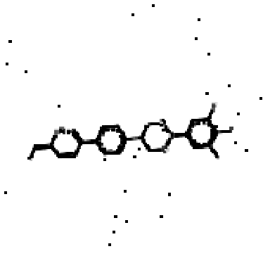 C=C(/C=C\C(=C/C)CCCC)c1ccc(C2COB(c3cc(C)c(F)c(F)c3)OC2)cc1